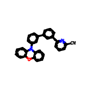 N#Cc1cccc(-c2cccc(-c3cccc(N4c5ccccc5Oc5ccccc54)c3)c2)n1